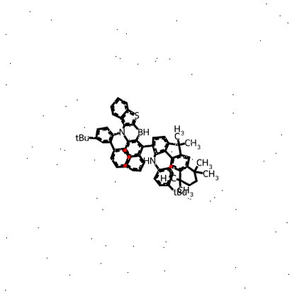 CC(C)(C)c1ccc(Nc2c(-c3c4c(cc5ccccc35)N(c3ccc(C(C)(C)C)cc3-c3ccccc3)c3c(sc5ccccc35)B4)ccc3c2-c2cc4c(cc2C3(C)C)C(C)(C)CCC4(C)C)cc1